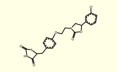 O=C1NC(=O)C(Cc2ccc(OCCN3CC(c4cccc(Cl)c4)OC3=O)cc2)S1